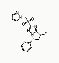 O=S(=O)(Cn1cccn1)c1nc2n(n1)[C@H](c1ccccc1)C[C@@H]2F